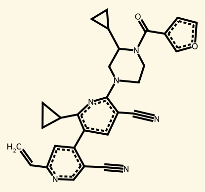 C=Cc1cc(-c2cc(C#N)c(N3CCN(C(=O)c4ccoc4)C(C4CC4)C3)nc2C2CC2)c(C#N)cn1